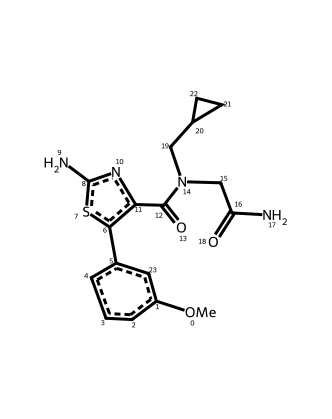 COc1cccc(-c2sc(N)nc2C(=O)N(CC(N)=O)CC2CC2)c1